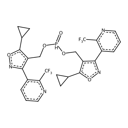 O=[PH](OCc1c(-c2cccnc2C(F)(F)F)noc1C1CC1)OCc1c(-c2cccnc2C(F)(F)F)noc1C1CC1